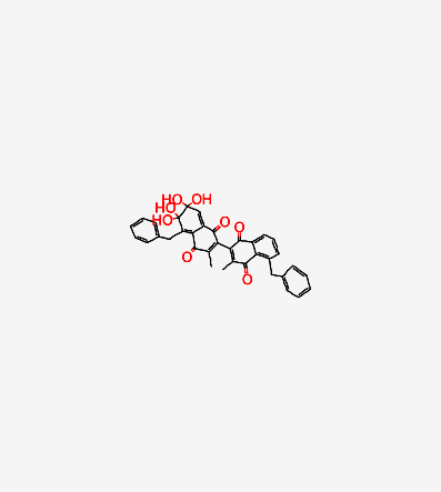 CC1=C(C2=C(C)C(=O)c3c(Cc4ccccc4)cccc3C2=O)C(=O)C2=CC(O)(O)C(O)(O)C(Cc3ccccc3)=C2C1=O